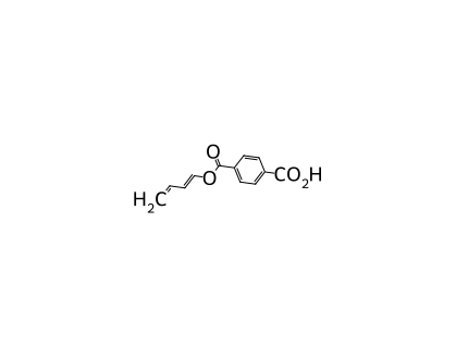 C=CC=COC(=O)c1ccc(C(=O)O)cc1